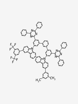 Cc1cc(C)cc(-c2ccc3c(c2)c2ccccc2n3-c2cc(-c3cccc(-c4cc(-c5nc(-c6ccccc6)nc(-c6ccccc6)n5)cc(-n5c6ccccc6c6cc(-c7cc(C(F)(F)F)cc(C(F)(F)F)c7)ccc65)c4)c3)cc(-c3nc(-c4ccccc4)nc(-c4ccccc4)n3)c2)c1